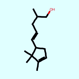 CC1=CCC(C=CCC(C)CO)C1(C)C